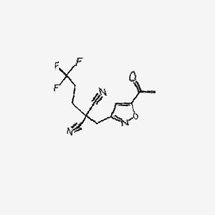 CC(=O)c1cc(CC(C#N)(C#N)CCC(F)(F)F)no1